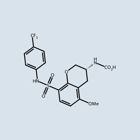 COc1ccc(S(=O)(=O)Nc2ccc(C(F)(F)F)cc2)c2c1C[C@@H](NC(=O)O)CO2